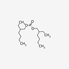 CCCCC(CC)CO[P](=O)OCC(CC)CCCC